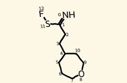 N=C(CCC1CCCOCC1)SF